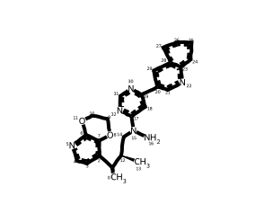 CC(c1ccnc2c1OCCO2)[C@H](C)CN(N)c1cc(-c2cnc3ccccc3c2)ncn1